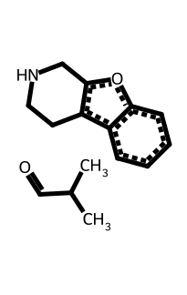 CC(C)C=O.c1ccc2c3c(oc2c1)CNCC3